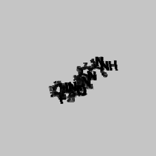 Cc1[nH]ncc1-c1ccc2cc(C(=O)NC3(c4ccccc4F)CC3)n(C)c2n1